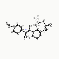 C/C(=C(/F)c1cccc2c1N[C@H](C)CC(=O)N2)c1ccc(C#N)cc1